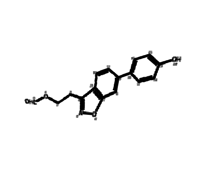 O=COCCc1noc2cc(-c3ccc(O)cc3)ccc12